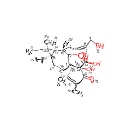 CC1=C[C@]23C(O)[C@@H](C=C(CO)[C@@H](O)[C@]2(O)C1=O)[C@H]1[C@@H](C[C@H]3C)C1(C)C